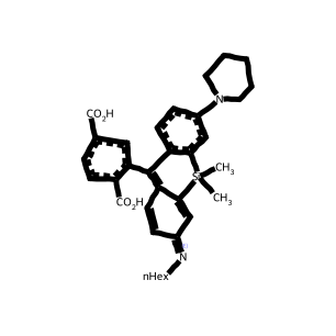 CCCCCC/N=C1\C=CC2=C(c3cc(C(=O)O)ccc3C(=O)O)c3ccc(N4CCCCC4)cc3[Si](C)(C)C2=C1